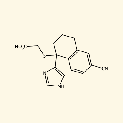 N#Cc1ccc2c(c1)CCCC2(SCC(=O)O)c1c[nH]cn1